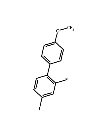 Fc1cc(I)ccc1-c1ccc(OC(F)(F)F)cc1